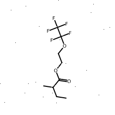 CCC(C)C(=O)OCCOC(F)(F)C(F)(F)F